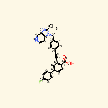 Cc1nc2cnccc2n1Cc1ccc(C#Cc2cc(-c3ccc(F)cc3)ccc2C(=O)O)cc1